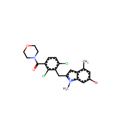 Cc1cc(Br)cc2c1cc(Cc1c(Cl)ccc(C(=O)N3CCOCC3)c1Cl)n2C